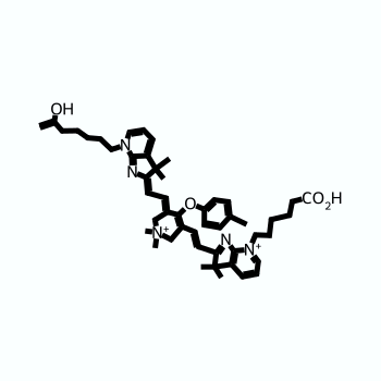 C=C(O)CCCCCN1C=CC=C2C1=N/C(=C/C=C1\C[N+](C)(C)CC(/C=C/C3=Nc4c(ccc[n+]4CCCCCC(=O)O)C3(C)C)=C1Oc1ccc(C)cc1)C2(C)C